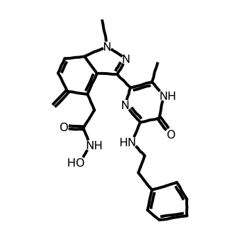 C=C1C=CC2C(=C1CC(=O)NO)C(c1nc(NCCc3ccccc3)c(=O)[nH]c1C)=NN2C